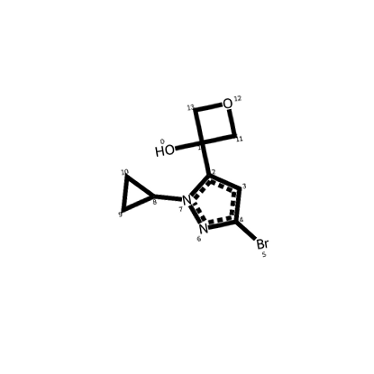 OC1(c2cc(Br)nn2C2CC2)COC1